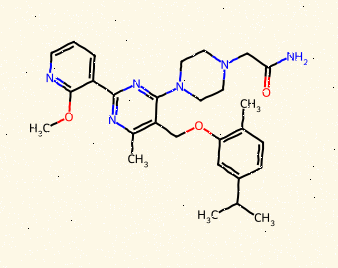 COc1ncccc1-c1nc(C)c(COc2cc(C(C)C)ccc2C)c(N2CCN(CC(N)=O)CC2)n1